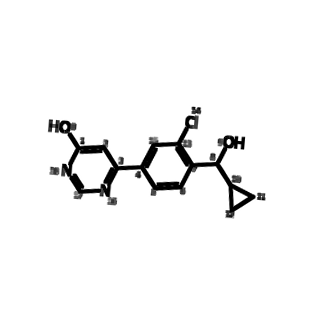 Oc1cc(-c2ccc(C(O)C3CC3)c(Cl)c2)ncn1